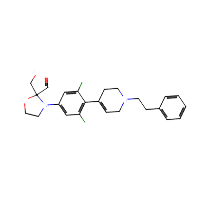 O=CC1(CO)OCCN1c1cc(F)c(C2=CCN(CCc3ccccc3)CC2)c(F)c1